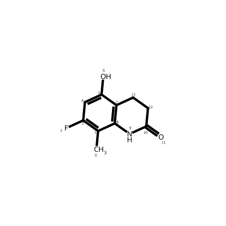 Cc1c(F)cc(O)c2c1NC(=O)CC2